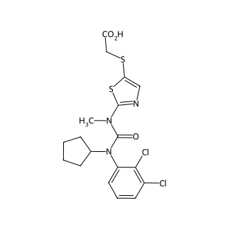 CN(C(=O)N(c1cccc(Cl)c1Cl)C1CCCC1)c1ncc(SCC(=O)O)s1